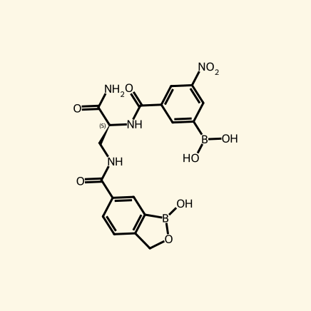 NC(=O)[C@H](CNC(=O)c1ccc2c(c1)B(O)OC2)NC(=O)c1cc(B(O)O)cc([N+](=O)[O-])c1